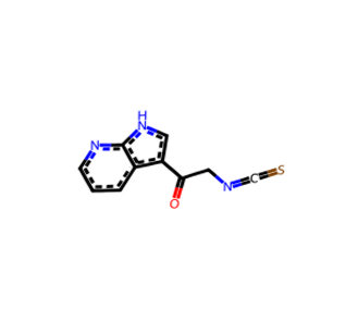 O=C(CN=C=S)c1c[nH]c2ncccc12